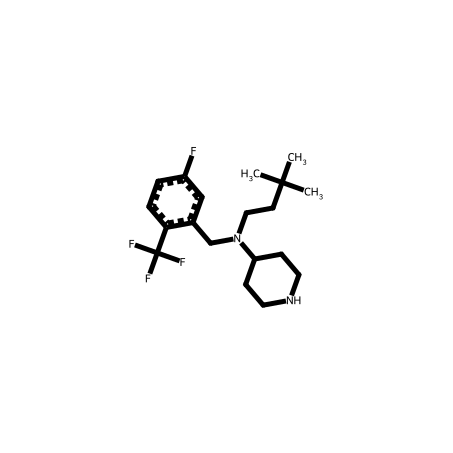 CC(C)(C)CCN(Cc1cc(F)ccc1C(F)(F)F)C1CCNCC1